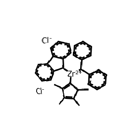 CC1=C(C)C(C)[C]([Zr+2](=[C](c2ccccc2)c2ccccc2)[CH]2c3ccccc3-c3ccccc32)=C1C.[Cl-].[Cl-]